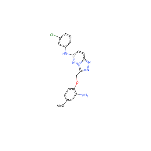 COc1ccc(OCc2nnc3ccc(Nc4cccc(Cl)c4)nn23)c(N)c1